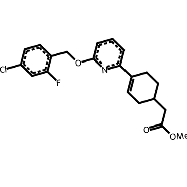 COC(=O)CC1CC=C(c2cccc(OCc3ccc(Cl)cc3F)n2)CC1